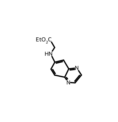 CCOC(=O)CNc1ccc2nccnc2c1